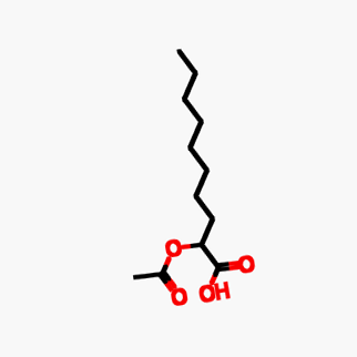 CCCCCCCCC(OC(C)=O)C(=O)O